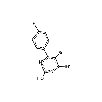 CC(C)c1nc(O)nc(-c2ccc(F)cc2)c1Br